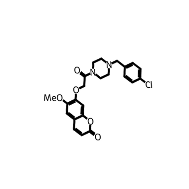 COc1cc2ccc(=O)oc2cc1OCC(=O)N1CCN(Cc2ccc(Cl)cc2)CC1